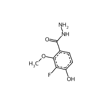 COc1c(C(=O)NN)ccc(O)c1F